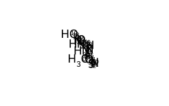 Cc1cc(Nc2ncnc3ccc(NC4=N[C@@H](CCO)CO4)cc23)ccc1OCc1nccs1